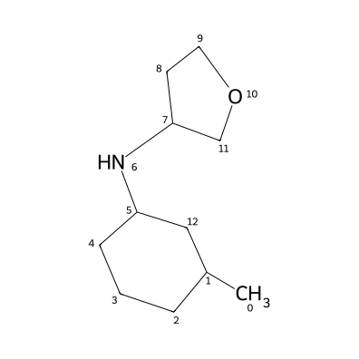 CC1CCCC(NC2CCOC2)C1